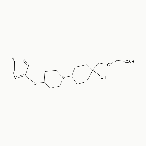 O=C(O)COCC1(O)CCC(N2CCC(Oc3ccncc3)CC2)CC1